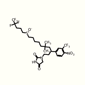 CC(C)(CCCCC[S+]([O-])CCCC(F)(F)C(F)(F)F)CC(CCN1CC(=O)NC1=O)c1ccc([N+](=O)[O-])c(C(F)(F)F)c1